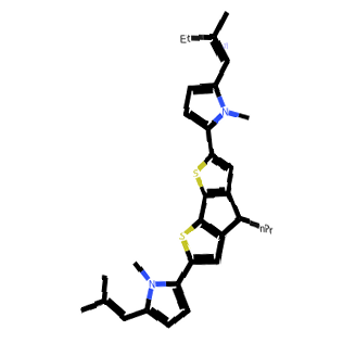 CCCC1c2cc(-c3ccc(C=C(C)C)n3C)sc2-c2sc(-c3ccc(/C=C(/C)CC)n3C)cc21